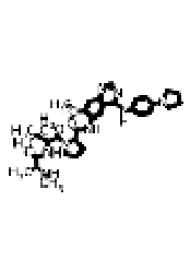 CNC(C)C(=O)NC(C(=O)N1CCCC1C(=O)Nc1cc2c(Nc3ccc(N4CCCC4)cc3)ncnc2cc1OC)C(C)(C)C